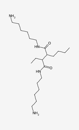 CCCCC(C(=O)NCCCCCCN)C(CC)C(=O)NCCCCCCN